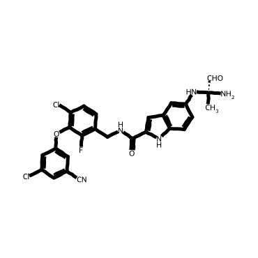 C[C@@](N)(C=O)Nc1ccc2[nH]c(C(=O)NCc3ccc(Cl)c(Oc4cc(Cl)cc(C#N)c4)c3F)cc2c1